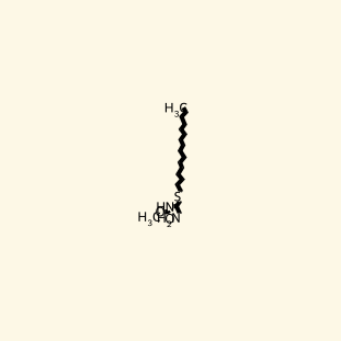 CCCCCCCCCCCCCCCCSCC(CN)NC(=O)OC